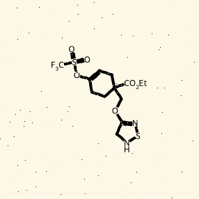 CCOC(=O)C1(COC2=NSNC2)CC=C(OS(=O)(=O)C(F)(F)F)CC1